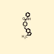 Cn1ccc2ccc(CN3CCN(C(=O)Nc4ccccc4)CC3)cc21